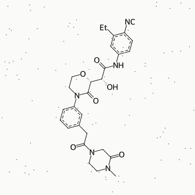 [C-]#[N+]c1ccc(NC(=O)[C@H](O)[C@H]2OCCN(c3cccc(CC(=O)N4CCN(C)C(=O)C4)c3)C2=O)cc1CC